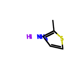 Cc1cccs1.I.N